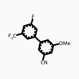 COc1cc(C#N)cc(-c2cc(F)cc(C(F)(F)F)c2)c1